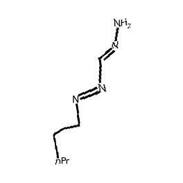 CCCCCN=NC=NN